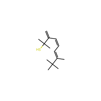 C=C(/C=C\C=C(/C)C(C)(C)C)C(C)(C)S